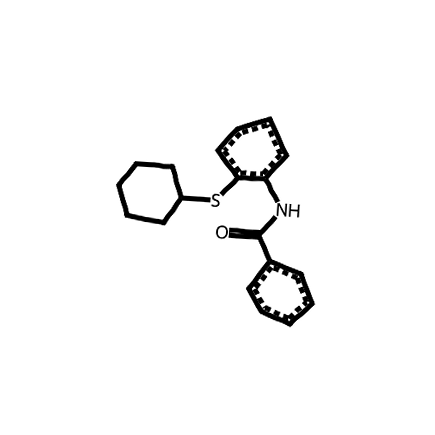 O=C(Nc1ccccc1SC1CCCCC1)c1ccccc1